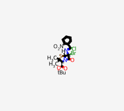 CC(C)(C)OC(=O)[C@@H]1N2C(=O)[C@@](Br)(N=C(Cl)c3ccccc3[N+](=O)[O-])[C@H]2SC1(C)C